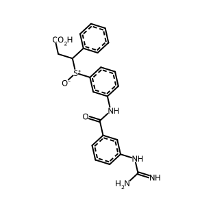 N=C(N)Nc1cccc(C(=O)Nc2cccc([S+]([O-])C(CC(=O)O)c3ccccc3)c2)c1